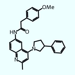 COc1ccc(CC(=O)Nc2ccc3nc(C)cc(N4CCC(c5ccccc5)C4)c3c2)cc1